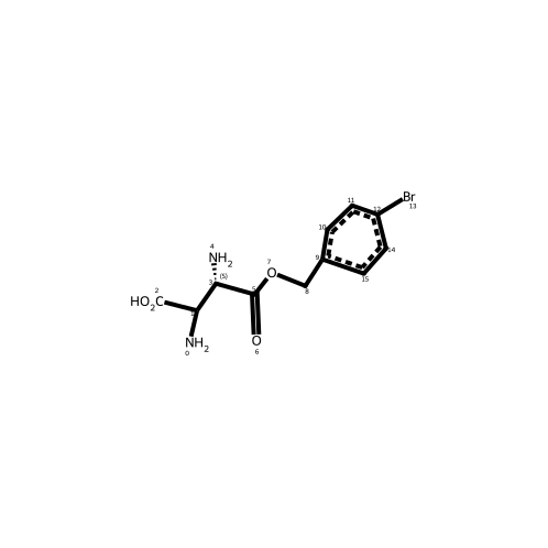 NC(C(=O)O)[C@H](N)C(=O)OCc1ccc(Br)cc1